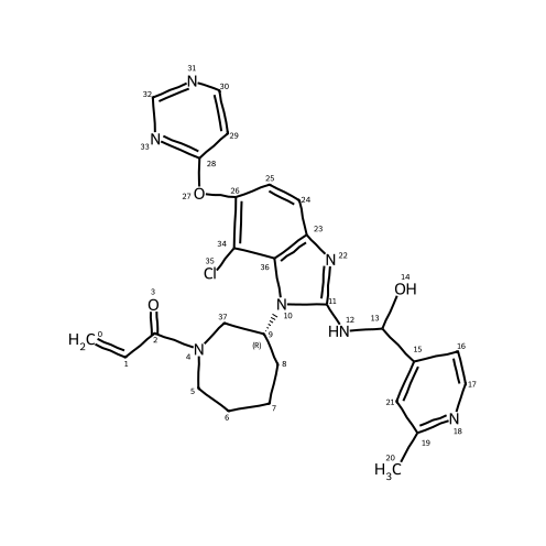 C=CC(=O)N1CCCC[C@@H](n2c(NC(O)c3ccnc(C)c3)nc3ccc(Oc4ccncn4)c(Cl)c32)C1